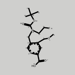 COCc1cc(C(=O)O)ncc1CN(CCF)C(=O)OC(C)(C)C